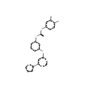 O=C(Nc1cccc(Oc2cc(-c3ccc[nH]3)ncn2)c1)Nc1ccc(Cl)c(C(F)(F)F)c1